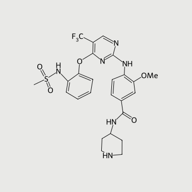 COc1cc(C(=O)NC2CCNCC2)ccc1Nc1ncc(C(F)(F)F)c(Oc2ccccc2NS(C)(=O)=O)n1